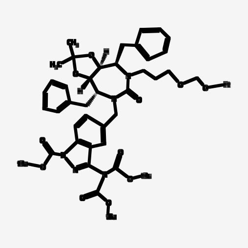 CCOCOCCCN1C(=O)N(Cc2ccc3c(c2)c(N(C(=O)OC(C)(C)C)C(=O)OC(C)(C)C)nn3C(=O)OC(C)(C)C)[C@H](Cc2ccccc2)[C@@H]2OC(C)(C)O[C@H]2[C@H]1Cc1ccccc1